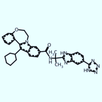 CC(C)(NC(=O)c1ccc2c(C3CCCCC3)c3n(c2c1)CCOc1ccccc1-3)c1nc2cc(-c3nnn[nH]3)ccc2[nH]1